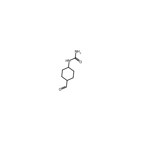 NC(=O)NC1CCC(C=O)CC1